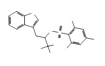 Nc1cc(F)cc(F)c1S(=O)(=O)NC(Cc1c[nH]c2ccccc12)C(F)(F)C(F)(F)F